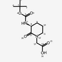 CC(C)(C)OC(=O)N[C@H]1CCCN(CC(=O)O)C1=O